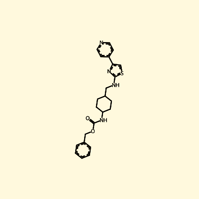 O=C(NC1CCC(CNc2nc(-c3ccncc3)cs2)CC1)OCc1ccccc1